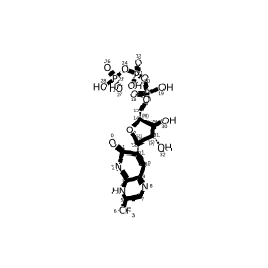 O=c1nc2[nH]c(C(F)(F)F)cnc-2cc1[C@@H]1O[C@H](COP(=O)(O)OP(=O)(O)OP(=O)(O)O)C(O)[C@@H]1O